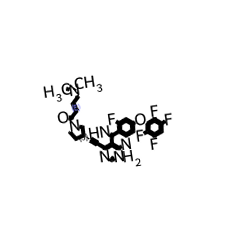 CN(C)C/C=C/C(=O)N1CC[C@@H](C#Cc2ncnc(N)c2C(=N)c2ccc(Oc3c(F)c(F)cc(F)c3F)cc2F)C1